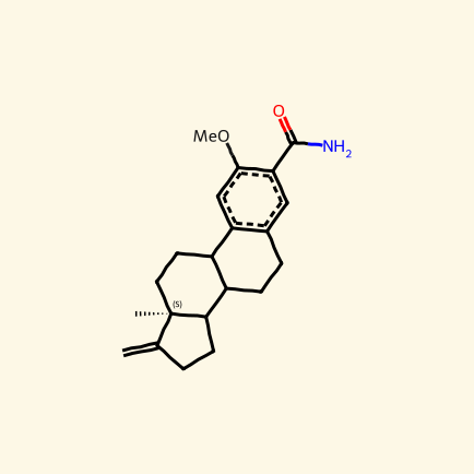 C=C1CCC2C3CCc4cc(C(N)=O)c(OC)cc4C3CC[C@]12C